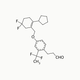 CC(F)(F)c1cc(OCC2=C(C3CCCC3)CCC(F)(F)C2)ccc1CCC=O